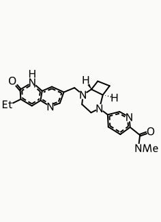 CCc1cc2ncc(CN3CCN(c4ccc(C(=O)NC)nc4)[C@@H]4CC[C@H]43)cc2[nH]c1=O